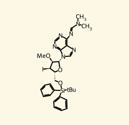 CO[C@@H]1[C@H](I)[C@@H](CO[Si](c2ccccc2)(c2ccccc2)C(C)(C)C)O[C@H]1n1cnc2c(N=CN(C)C)ncnc21